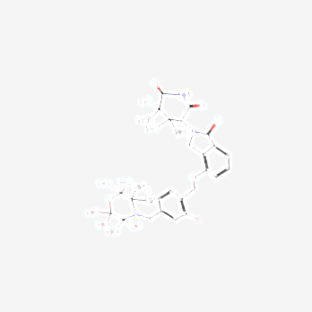 BC1(O)C(=O)NC(=O)C(N2Cc3c(OCc4ccc(CN5C(B)(B)C(O)(O)OC(O)(O)C5(O)O)cc4F)cccc3C2=O)C1(B)O